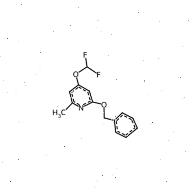 Cc1cc(OC(F)F)cc(OCc2ccccc2)n1